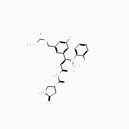 C=C(/C=C(/c1cc(F)cc(CO[C@H](C)C(F)(F)F)c1)N(N)c1ccccc1F)NC(=O)[C@@H]1CNC(=O)C1